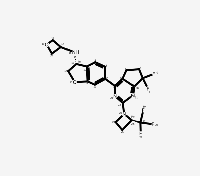 FC1(F)CCc2c(-c3ccc4c(c3)OC[C@@H]4NC3COC3)nc(N3CC[C@@H]3C(F)(F)F)nc21